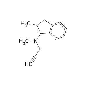 C#CCN(C)C1c2ccccc2CC1C